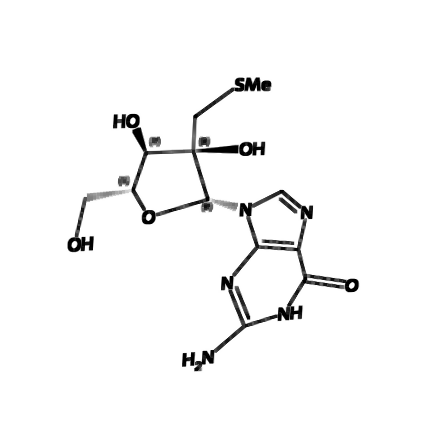 CSC[C@@]1(O)[C@H](O)[C@@H](CO)O[C@H]1n1cnc2c(=O)[nH]c(N)nc21